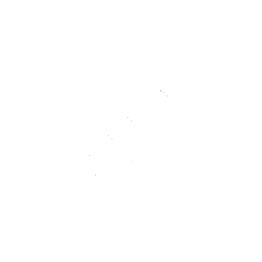 Cc1nc2c(C3=CCOCC3)n[nH]c2nc1N1CCC2(CC1)Cc1ccccc1[C@H]2N